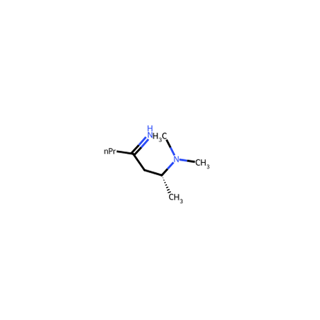 [CH2]CCC(=N)C[C@@H](C)N(C)C